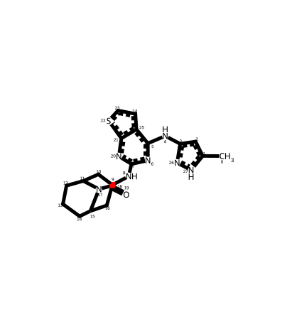 Cc1cc(Nc2nc(NC3CC4CCCC(C3)N4C=O)nc3sccc23)n[nH]1